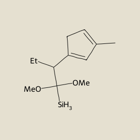 CCC(C1=CC(C)=CC1)C([SiH3])(OC)OC